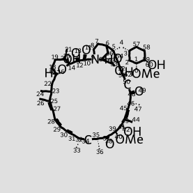 CO[C@@H]1C[C@H](C[C@H]2C3CCN4C(=O)C(=O)[C@]5(O)O[C@@H](CC[C@H]5C)CC(C)/C(C)=C/C=C/C=C/[C@@H](C)C[C@@H](C)C(=O)[C@H](OC)[C@H](O)/C(C)=C/[C@@H](C)C(=O)C[C@@H]2OC(=O)[C@@H]4C3)CC[C@H]1O